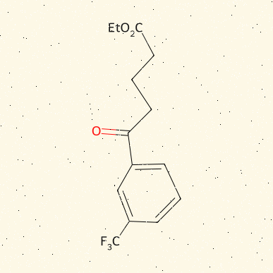 CCOC(=O)CCCC(=O)c1cccc(C(F)(F)F)c1